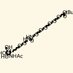 CC(=O)N[C@@H]1[C@@H](O)[C@@H](O)[C@@H](CO)O[C@@H]1CCCCCOCCOCCNC(=O)NCCOCCOCCOCCOCCOCCOCCC(=O)OC(C)(C)C